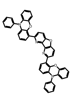 c1ccc(N2c3ccccc3Oc3c(-c4ccc5oc6ccc(-c7cccc8c7Oc7ccccc7N8c7ccccc7)nc6c5n4)cccc32)cc1